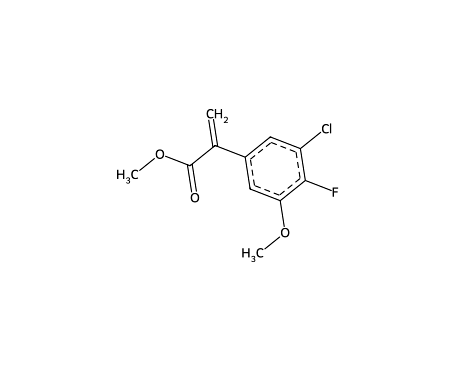 C=C(C(=O)OC)c1cc(Cl)c(F)c(OC)c1